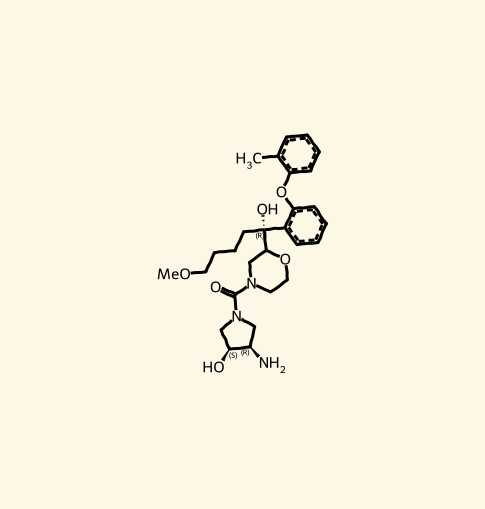 COCCCC[C@@](O)(c1ccccc1Oc1ccccc1C)C1CN(C(=O)N2C[C@@H](N)[C@@H](O)C2)CCO1